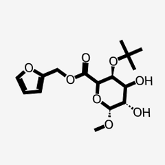 CO[C@@H]1OC(C(=O)OCc2ccco2)[C@@H](OC(C)(C)C)C(O)[C@@H]1O